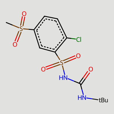 CC(C)(C)NC(=O)NS(=O)(=O)c1cc(S(C)(=O)=O)ccc1Cl